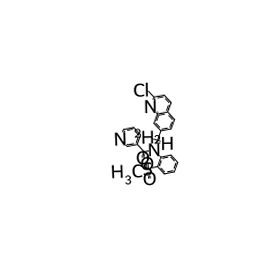 [2H]C([2H])(c1ccc2ccc(Cl)nc2c1)N(C(=O)c1cccnc1)c1ccccc1S(C)(=O)=O